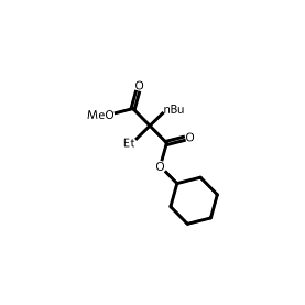 CCCCC(CC)(C(=O)OC)C(=O)OC1CCCCC1